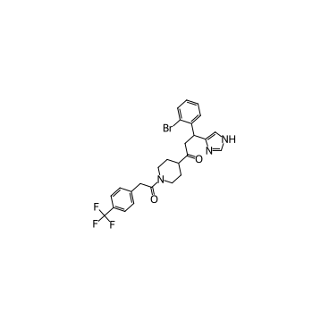 O=C(CC(c1c[nH]cn1)c1ccccc1Br)C1CCN(C(=O)Cc2ccc(C(F)(F)F)cc2)CC1